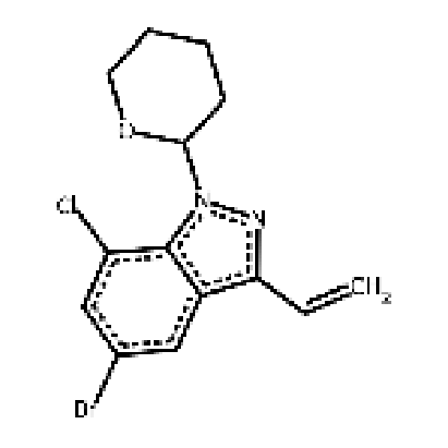 C=Cc1nn(C2CCCCO2)c2c(Cl)cc(Br)cc12